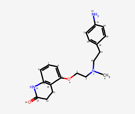 CN(CCOc1cccc2c1CCC(=O)N2)CCc1ccc(N)cc1